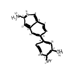 CC(C)c1ncc(-c2ccc3cnc(N)cc3c2)cc1O